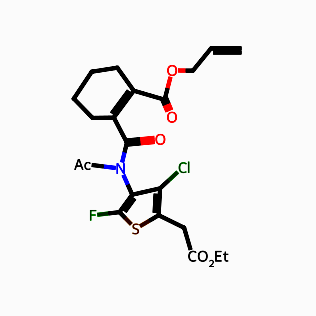 C=CCOC(=O)C1=C(C(=O)N(C(C)=O)c2c(F)sc(CC(=O)OCC)c2Cl)CCCC1